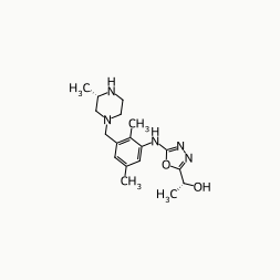 Cc1cc(CN2CCN[C@@H](C)C2)c(C)c(Nc2nnc([C@@H](C)O)o2)c1